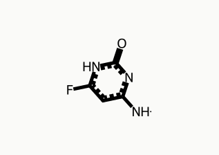 [NH]c1cc(F)[nH]c(=O)n1